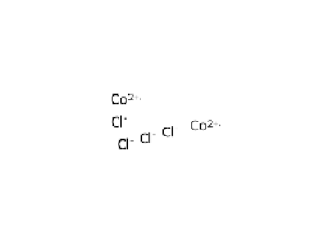 [Cl-].[Cl-].[Cl-].[Cl-].[Co+2].[Co+2]